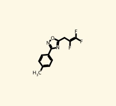 Cc1ccc(-c2noc(CC(F)=C(F)F)n2)cc1